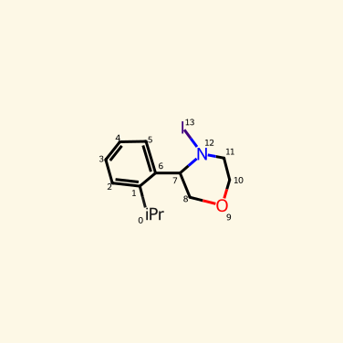 CC(C)c1ccccc1C1COCCN1I